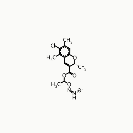 Cc1cc2c(c(C)c1Cl)C=C(C(=O)OC(C)O/N=[NH+]\[O-])[C@@H](C(F)(F)F)O2